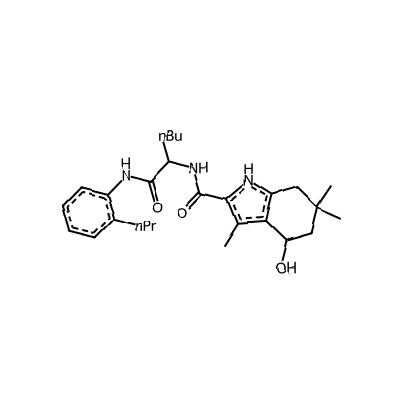 CCCCC(NC(=O)c1[nH]c2c(c1C)C(O)CC(C)(C)C2)C(=O)Nc1ccccc1CCC